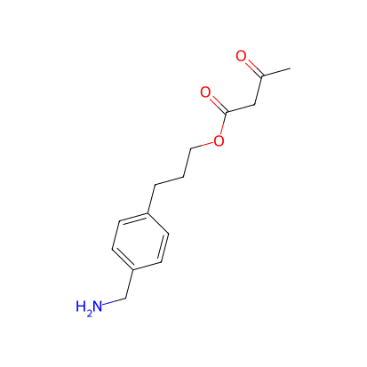 CC(=O)CC(=O)OCCCc1ccc(CN)cc1